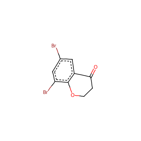 O=C1CCOc2c(Br)cc(Br)cc21